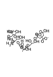 CC(=O)O.CC(=O)O.NOCC(O)CO.NOCC(O)CO.NOCC(O)CO.O=C([O-])CC(O)(CC(=O)O)C(=O)[O-].[Ca+2]